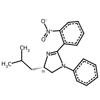 CC(C)C[C@H]1CN(c2ccccc2)C(c2ccccc2[N+](=O)[O-])=N1